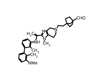 C=C(Nc1cccc(-c2cccc(NC)c2C)c1C)c1nc2c(n1C)CCN(CCC13CCC(C=O)(CC1)C3)C2